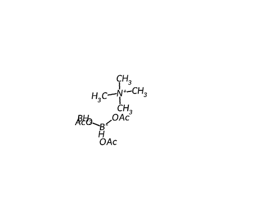 B.CC(=O)O[BH-](OC(C)=O)OC(C)=O.C[N+](C)(C)C